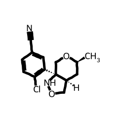 C[C@H]1C[C@H]2CON[C@@]2(c2cc(C#N)ccc2Cl)CO1